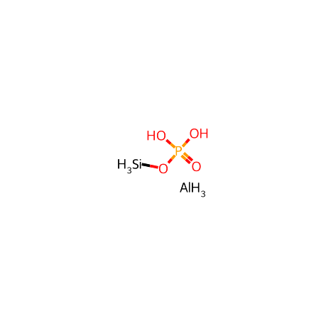 O=P(O)(O)O[SiH3].[AlH3]